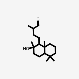 CC(C=O)CCC1C(C)(O)CCC2C(C)(C)CCCC21C